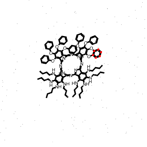 CCCCNc1c(NCCCC)c(NCCCC)c2c(c1NCCCC)-c1nc-2nc2[nH]c(nc3nc(nc4[nH]c(n1)c1c(NCCCC)c(NCCCC)c(NCCCC)c(NCCCC)c41)-c1c(Oc4ccccc4)c(Oc4ccccc4)c(Oc4ccccc4)c(Oc4ccccc4)c1-3)c1c(Oc3ccccc3)c(Oc3ccccc3)c(Oc3ccccc3)c(Oc3ccccc3)c21